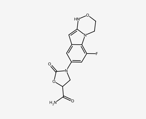 NC(=O)C1CN(c2cc(F)c3c(c2)cc2n3CCON2)C(=O)O1